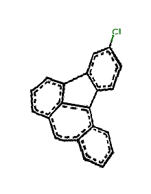 Clc1ccc2c(c1)-c1cccc3cc4ccccc4c-2c13